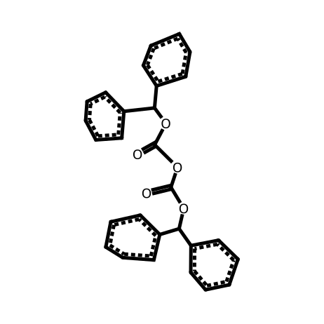 O=C(OC(=O)OC(c1ccccc1)c1ccccc1)OC(c1ccccc1)c1ccccc1